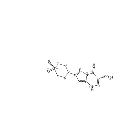 O=C(O)c1c[nH]c2cc(C3CCS(=O)(=O)CC3)nn2c1=O